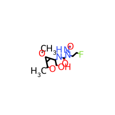 COC1C2C(C)OC(O)C(NC(=O)N(CCF)N=O)C12